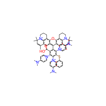 CC1=CC(C)(C)N2CCCc3c4c(cc1c32)C(c1c(C(=O)O)c(-[n+]2ccc(N(C)C)cc2)c(-[n+]2ccc(N(C)C)cc2)c(Sc2ccccc2)c1-[n+]1ccc(N(C)C)cc1)=c1cc2c3c(c1O4)CCC[N+]=3C(C)(C)C=C2C